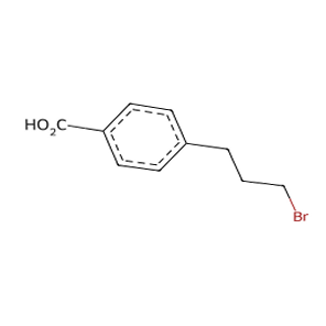 O=C(O)c1ccc(CCCBr)cc1